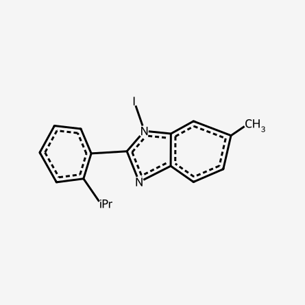 Cc1ccc2nc(-c3ccccc3C(C)C)n(I)c2c1